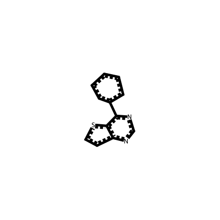 c1ccc(-c2ncnc3ccsc23)cc1